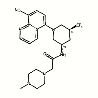 CN1CCN(CC(=O)N[C@@H]2C[C@H](C(F)(F)F)CN(c3ccc(C#N)c4ncccc34)C2)CC1